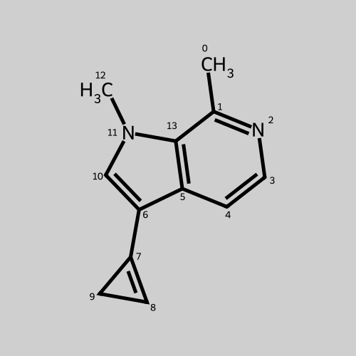 Cc1nccc2c(C3=CC3)cn(C)c12